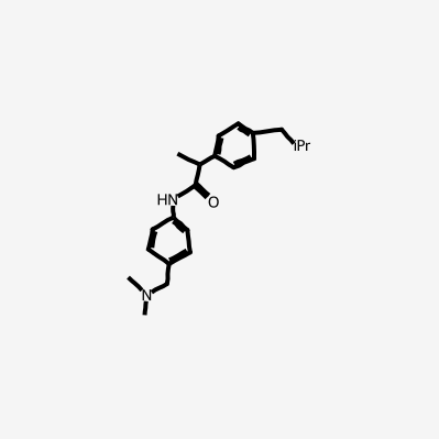 CC(C)Cc1ccc(C(C)C(=O)Nc2ccc(CN(C)C)cc2)cc1